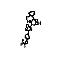 O=C(N[C@@H](CO)c1nc(-c2ccc(OC(F)(F)F)cc2)no1)c1ccccc1F